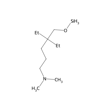 CCC(CC)(CCCN(C)C)CO[SiH3]